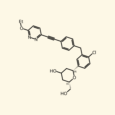 CCOc1ccc(C#Cc2ccc(Cc3cc([C@H]4CC(O)C[C@@H](CO)O4)ccc3Cl)cc2)nn1